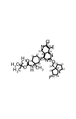 CC(C)(C)OC(=O)N[C@]1(C)CCCN(c2nc(OC[C@@]34CCCN3C[C@H](F)C4)nc3c(F)c(Cl)ncc23)C1